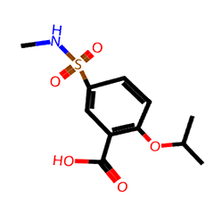 CNS(=O)(=O)c1ccc(OC(C)C)c(C(=O)O)c1